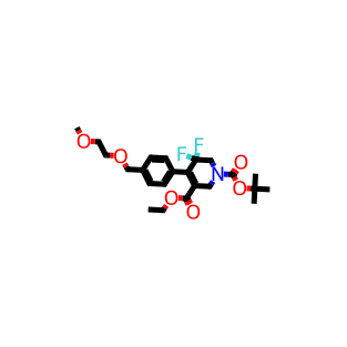 CCOC(=O)C1=C(c2ccc(COCCOC)cc2)C(F)(F)CN(C(=O)OC(C)(C)C)C1